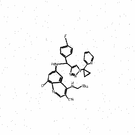 CC(C)(C)CNc1c(C#N)cnc2c(Cl)cc(NC(c3ccc(F)cc3)c3cn(C4(c5ccccn5)CC4)nn3)cc12